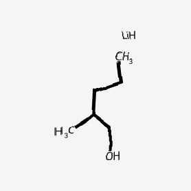 CCCC(C)CO.[LiH]